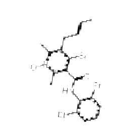 CC=CCc1c(Br)c(C(=O)Nc2c(CC)cccc2CC)c(C)[n+]([O-])c1C